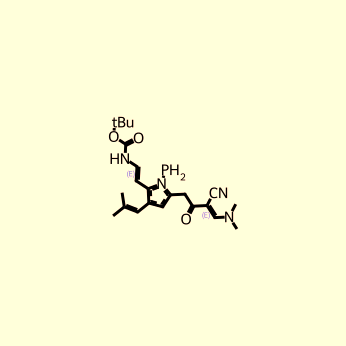 CC(C)=Cc1cc(CC(=O)/C(C#N)=C/N(C)C)n(P)c1/C=C/NC(=O)OC(C)(C)C